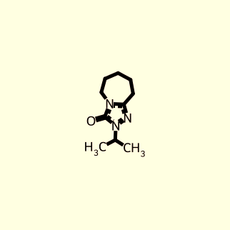 CC(C)n1nc2n(c1=O)CCCCC2